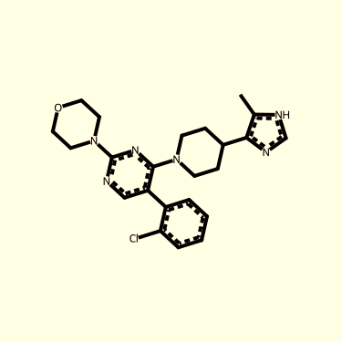 Cc1[nH]cnc1C1CCN(c2nc(N3CCOCC3)ncc2-c2ccccc2Cl)CC1